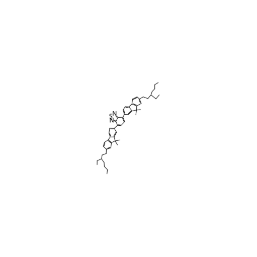 CCCCC(CC)CCc1ccc2c(c1)C(C)(C)c1cc(-c3ccc(-c4ccc5c(c4)C(C)(C)c4cc(CCC(CC)CCCC)ccc4-5)c4nsnc34)ccc1-2